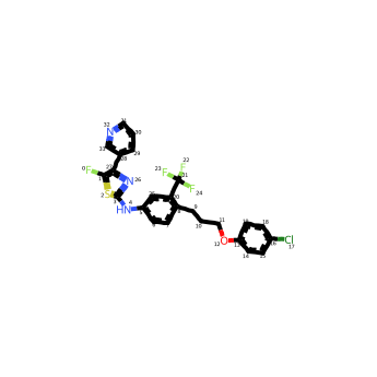 Fc1sc(Nc2ccc(CCCOc3ccc(Cl)cc3)c(C(F)(F)F)c2)nc1-c1cccnc1